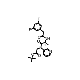 C[C@H](NC(=O)Cc1cc(F)cc(F)c1)C(=O)N(CC(=O)OC(C)(C)C)c1cccnc1